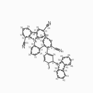 CC1C=CC(c2c(C#N)cccc2-c2ccccc2-n2c3ccc(C#N)cc3c3cccc(C#N)c32)=CC1n1c2ccccc2c2ccccc21